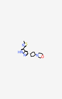 Cc1nc(-c2c[nH]c3ncc([C@H]4CC[C@H](N5CCCOCC5)CC4)cc23)cs1